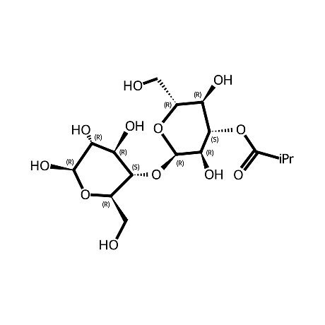 CC(C)C(=O)O[C@@H]1[C@@H](O)[C@@H](O[C@H]2[C@H](O)[C@@H](O)[C@H](O)O[C@@H]2CO)O[C@H](CO)[C@H]1O